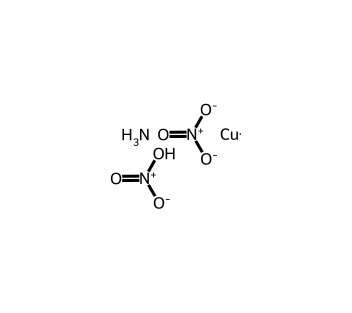 N.O=[N+]([O-])O.O=[N+]([O-])[O-].[Cu]